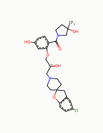 O=C(c1ccc(O)cc1OC[C@@H](O)CN1CCC2(CC1)Cc1cc(Cl)ccc1O2)N1CCC(O)(C(F)(F)F)C1